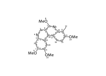 COc1cc2ncc3c(OC)nc4c(C)c(OC)ccc4c3c2cc1OC